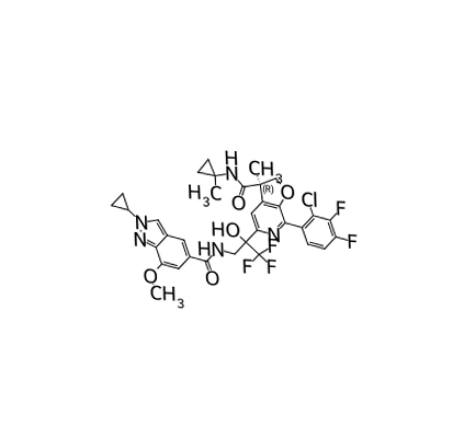 COc1cc(C(=O)NCC(O)(c2cc3c(c(-c4ccc(F)c(F)c4Cl)n2)OC[C@]3(C)C(=O)NC2(C)CC2)C(F)(F)F)cc2cn(C3CC3)nc12